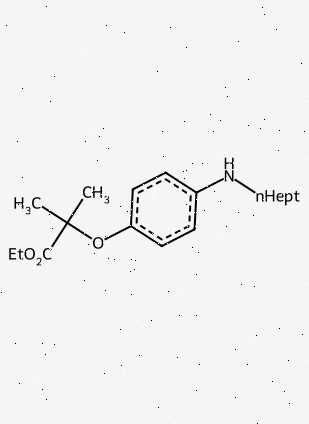 CCCCCCCNc1ccc(OC(C)(C)C(=O)OCC)cc1